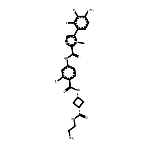 CCc1cc(NC(=O)c2ncc(-c3ccc(OC)c(F)c3F)n2C)ccc1C(=O)N[C@H]1C[C@@H](C(=O)NCCN)C1